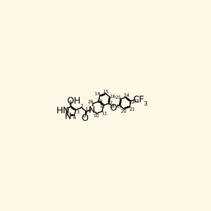 O=C(Cc1cn[nH]c1O)N1CCc2c(cccc2Oc2ccc(C(F)(F)F)cc2)C1